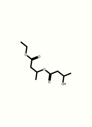 CCOC(=O)CC(C)OC(=O)CC(C)O